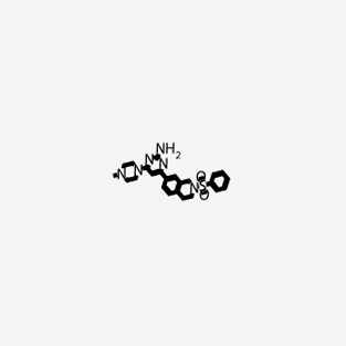 CN1CCN(c2cc(-c3ccc4c(c3)CN(S(=O)(=O)c3ccccc3)CC4)nc(N)n2)CC1